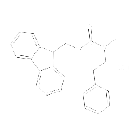 CN(C(=O)OCC1c2ccccc2-c2ccccc21)[C@@H](Cc1ccccc1)C(=O)O